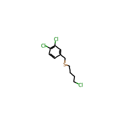 ClCCCCSCc1ccc(Cl)c(Cl)c1